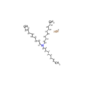 Br.CCCCCCCCCCN(CCCCCCCCCC)CCCCCCCCCC